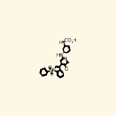 O=C(O)NC1CCC[C@@H](Nc2cc(-c3cn(S(=O)(=O)c4ccccc4)c4ccccc34)c(Cl)cn2)C1